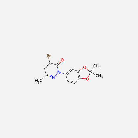 Cc1cc(Br)c(=O)n(-c2ccc3c(c2)OC(C)(C)O3)n1